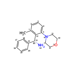 Cc1cccc(N2CCOCC2)c1[C@H](N)c1ccccc1